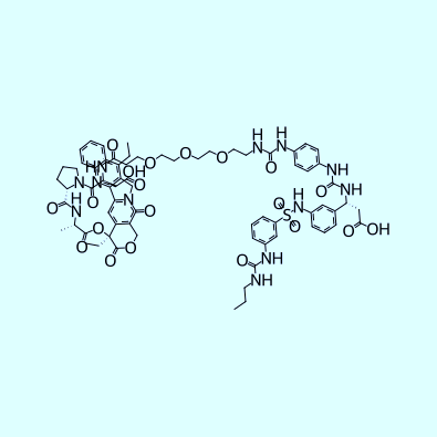 CCCNC(=O)Nc1cccc(S(=O)(=O)Nc2cccc([C@@H](CC(=O)O)NC(=O)Nc3ccc(NC(=O)NCCOCCOCCOCCC(=O)N[C@@H](CC(=O)O)C(=O)N4CCC[C@H]4C(=O)N[C@@H](C)C(=O)O[C@]4(CC)C(=O)OCc5c4cc4n(c5=O)Cc5c-4nc4ccccc4c5CC)cc3)c2)c1